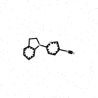 N#[N+]c1ccc(N2CCc3ccccc32)nc1